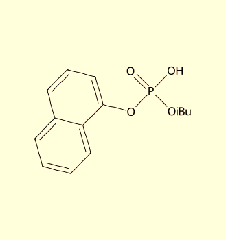 CC(C)COP(=O)(O)Oc1cccc2ccccc12